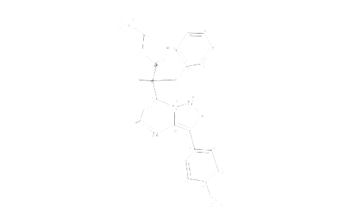 CC(Cc1ccccc1)(C(=O)OCC(=O)O)c1ccnc2c(-c3ccc(C(F)(F)F)cc3)cnn12